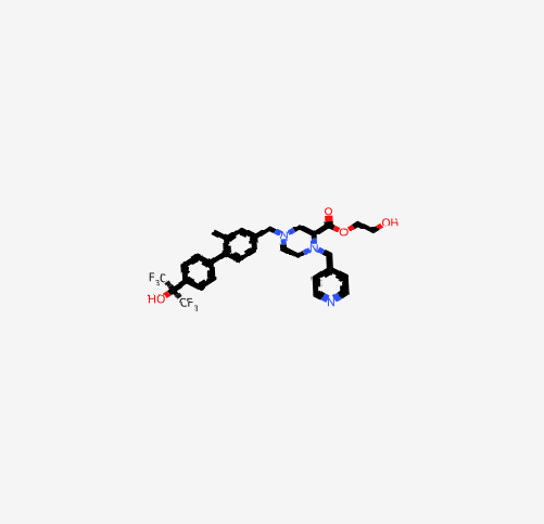 Cc1cc(CN2CCN(Cc3ccncc3)C(C(=O)OCCO)C2)ccc1-c1ccc(C(O)(C(F)(F)F)C(F)(F)F)cc1